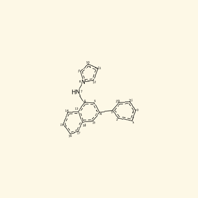 c1ccc(-c2cc(Nn3cccc3)c3ccccc3c2)cc1